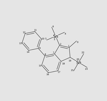 CC1=[C]([Sn]([CH3])([CH3])[CH3])c2c(-c3ccccc3)cccc2[CH]1[Sn]([CH3])([CH3])[CH3]